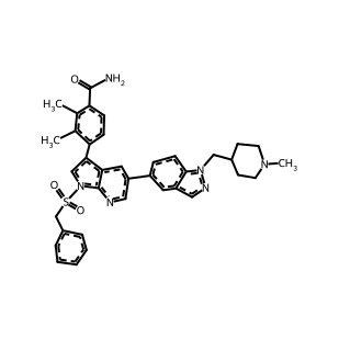 Cc1c(C(N)=O)ccc(-c2cn(S(=O)(=O)Cc3ccccc3)c3ncc(-c4ccc5c(cnn5CC5CCN(C)CC5)c4)cc23)c1C